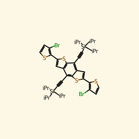 CC(C)[Si](C#Cc1c2cc(-c3sccc3Br)sc2c(C#C[Si](C(C)C)(C(C)C)C(C)C)c2cc(-c3sccc3Br)sc12)(C(C)C)C(C)C